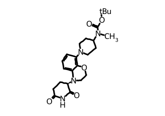 CN(C(=O)OC(C)(C)C)C1CCN(c2cccc3c2OCCN3[C@@H]2CCC(=O)NC2=O)CC1